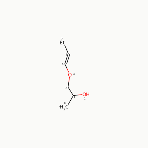 [CH2]C(O)CO/C=C/CC